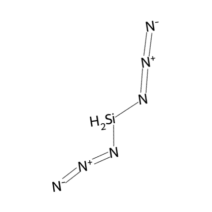 [N-]=[N+]=N[SiH2]N=[N+]=[N-]